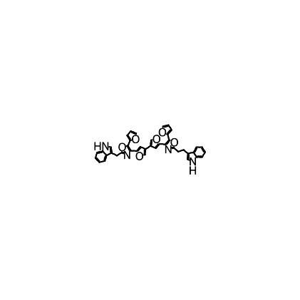 c1coc(-c2oc(CCc3c[nH]c4ccccc34)nc2-c2cc(-c3coc(-c4nc(Cc5c[nH]c6ccccc56)oc4-c4ccco4)c3)co2)c1